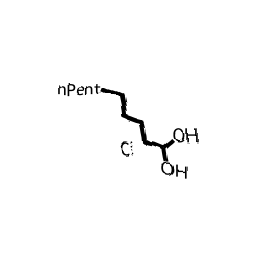 CCCCCCCCCC(O)O.[C]